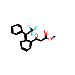 COC(=O)CC(=O)C1=CC=CCC1=C(c1ccccc1)C(F)(F)F